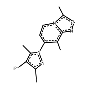 Cc1c(-n2nc(I)c(C(C)C)c2C)ccn2c(C)nnc12